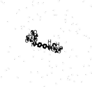 COC(=O)N[C@H](C(=O)N1CCC[C@H]1c1ncc(-c2ccc(-c3ccc(-c4cnc([C@@H]5CN(C(=O)OC)CN5C(=O)[C@@H](NC(=O)OC)C(C)C)[nH]4)cc3)cc2)[nH]1)C(C)C